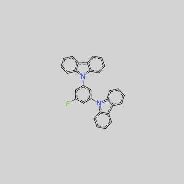 Fc1cc(-n2c3ccccc3c3ccccc32)cc(-n2c3ccccc3c3ccccc32)c1